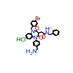 Cl.NCc1ccc(N2C(=O)C(CC(=O)NCc3ccccc3F)C(=O)N(Cc3ccc(Br)cc3)c3ccccc32)cc1